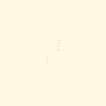 C=NCF